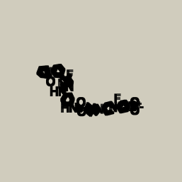 O=C(N[C@H]1CC[C@H](Nc2ncc(F)c(-c3cccc(-n4ccccc4=O)c3)n2)CC1)OC1CC2(C1)CN(C1CCN(c3ccc([N+](=O)[O-])cc3F)CC1)C2